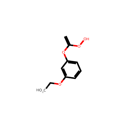 C=C(OO)Oc1cccc(OCC(=O)O)c1